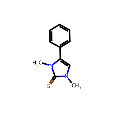 Cn1cc(-c2ccccc2)n(C)c1=S